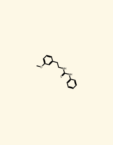 COc1cccc(CCNC(=S)Nc2cc[c]cc2)c1